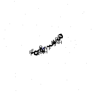 N=N/C(=C\NCC(F)CCc1nnc(NC(=O)Cc2ccccn2)s1)C(=O)NCc1cc(C(F)(F)F)ccn1